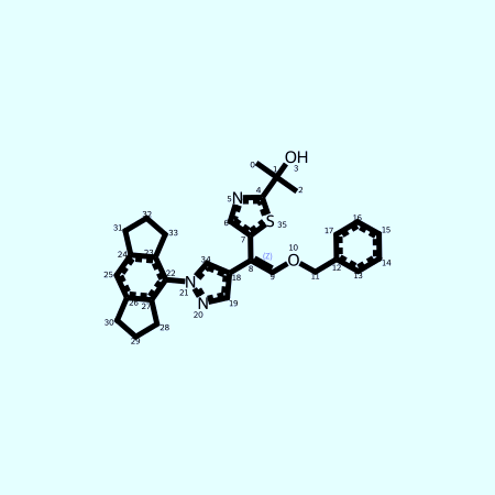 CC(C)(O)c1ncc(/C(=C\OCc2ccccc2)c2cnn(-c3c4c(cc5c3CCC5)CCC4)c2)s1